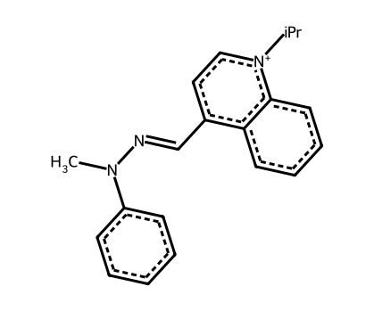 CC(C)[n+]1ccc(C=NN(C)c2ccccc2)c2ccccc21